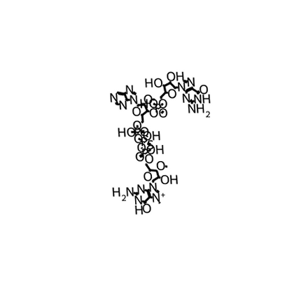 COC1C(COP(=O)(O)OP(O)(=S)OP(=O)(O)OCC2OC(n3cnc4cncnc43)C(OC)C2OP(=O)(O)OCC2OC(n3cnc4c(=O)[nH]c(N)nc43)C(O)C2O)OC(n2c[n+](C)c3c(=O)[nH]c(N)nc32)C1O